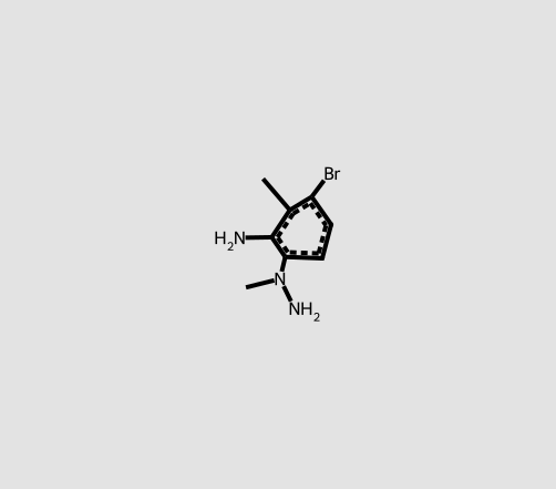 Cc1c(Br)ccc(N(C)N)c1N